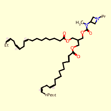 CC/C=C\C/C=C\C/C=C\CCCCCCCC(=O)OCC(COC(=O)CCCCCCC/C=C\C/C=C\CCCCC)COC(=O)N(C)C1CN(C(C)C)C1